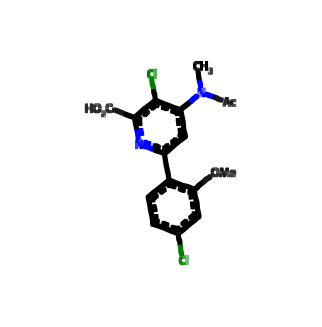 COc1cc(Cl)ccc1-c1cc(N(C)C(C)=O)c(Cl)c(C(=O)O)n1